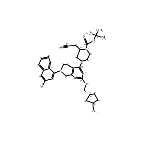 Cc1cc(N2CCc3c(nc(OC[C@@H]4CCN(C)C4)nc3N3CCN(C(=O)OC(C)(C)C)C(CC#N)C3)C2)c2ccccc2c1